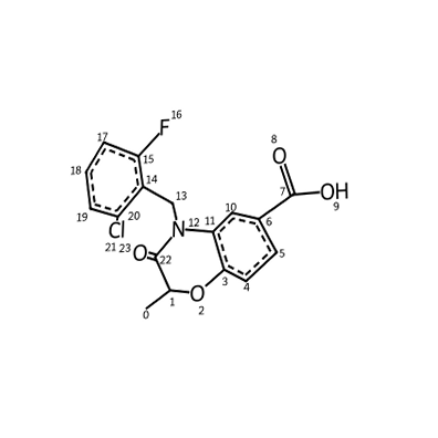 CC1Oc2ccc(C(=O)O)cc2N(Cc2c(F)cccc2Cl)C1=O